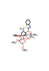 CCCCOC[C@@H]1C[C@H](OCCCC)[C@@H](OCCCC)C(O)(c2cc(C(O[Si](C)(C)C(C)(C)C)c3nc4ccccc4s3)c(C)cc2OCCCC)O1